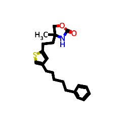 CC1(CCc2cc(CCCCCc3ccccc3)cs2)COC(=O)N1